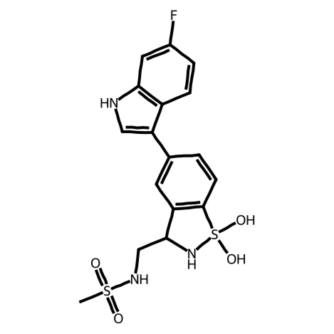 CS(=O)(=O)NCC1NS(O)(O)c2ccc(-c3c[nH]c4cc(F)ccc34)cc21